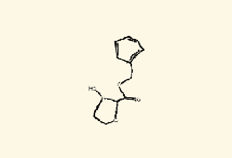 O=C(OCc1ccccc1)C1OCCN1O